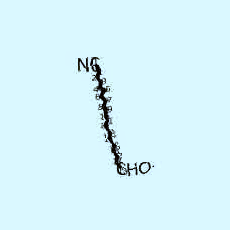 N#CCCCCCCCCCCCCCCCCCC[C]=O